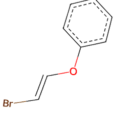 BrC=COc1ccccc1